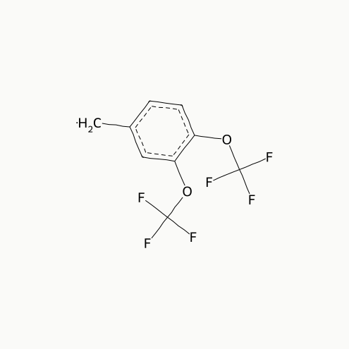 [CH2]c1ccc(OC(F)(F)F)c(OC(F)(F)F)c1